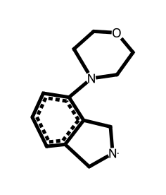 c1cc2c(c(N3CCOCC3)c1)C[N]C2